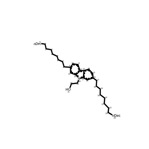 CCCCCCCCCCCCCCCCCCc1ccc2c3ccc(CCCCCCCCCCCCCCCCCC)cc3n(CCO)c2c1